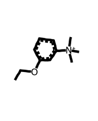 CCOc1cccc([N+](C)(C)C)c1